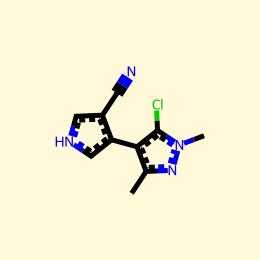 Cc1nn(C)c(Cl)c1-c1c[nH]cc1C#N